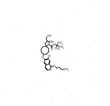 CCCCOc1nccc2cc(OC3CCCC(CC(O)CO)(NC(=O)OC(C)(C)C)CCC3)c(Cl)cc12